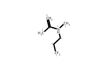 C=C(C)[SiH](C)CCC(F)(F)F